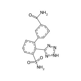 NC(=O)c1cccc(-c2cccc(S(N)(=O)=O)c2-c2nn[nH]n2)c1